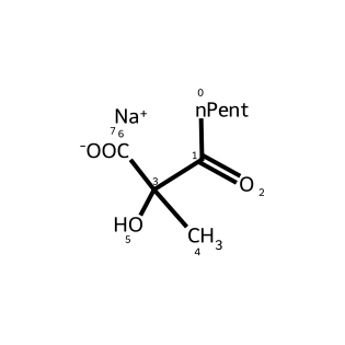 CCCCCC(=O)C(C)(O)C(=O)[O-].[Na+]